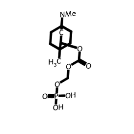 CNC12CCC(C)(CC1)C(OC(=O)OCOP(=O)(O)O)C2